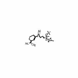 C[Si](C)(C)O[Si](C)(CCCNC1=CC(=C(C#N)C#N)CCC1)O[Si](C)(C)C